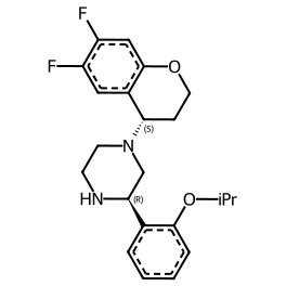 CC(C)Oc1ccccc1[C@@H]1CN([C@H]2CCOc3cc(F)c(F)cc32)CCN1